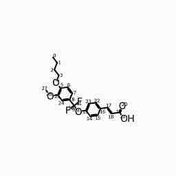 CCCCOc1ccc(C(F)(F)Oc2ccc(C=CC(=O)O)cc2)cc1OC